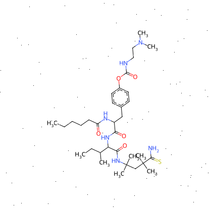 CCCCCC(=O)NC(Cc1ccc(OC(=O)NCCN(C)C)cc1)C(=O)NC(C(=O)NC(C)(C)CC(C)(C)C(N)=S)C(C)CC